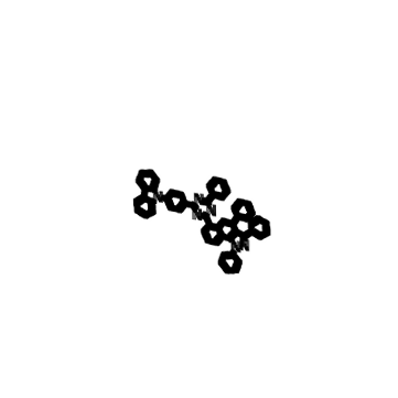 c1ccc(-c2nc(-c3ccc(-n4c5ccccc5c5ccccc54)cc3)nc(-c3cccc4c3cc(-c3ccccc3)c3c(-c5ccccc5)nn(-c5ccccc5)c34)n2)cc1